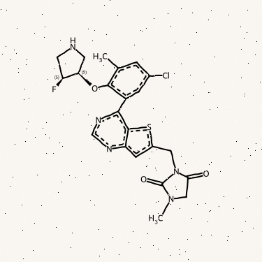 Cc1cc(Cl)cc(-c2ncnc3cc(CN4C(=O)CN(C)C4=O)sc23)c1O[C@@H]1CNC[C@@H]1F